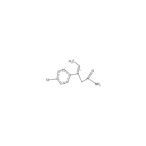 C/C=C(/CC(N)=O)c1ccc(Cl)cc1